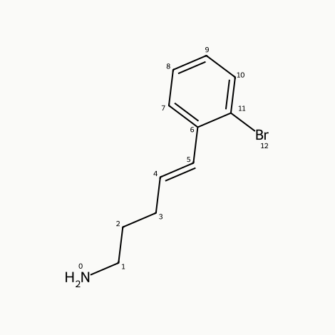 NCCCC=Cc1ccccc1Br